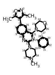 Cc1noc(C)c1-c1ccc2nc(N3CCN(C)CC3)nc(N3CCOC[C@@H]3c3ccccc3)c2c1